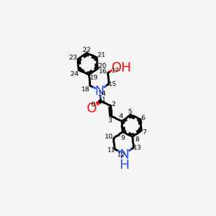 O=C(/C=C/c1cccc2c1CCNC2)N(CCO)Cc1ccccc1